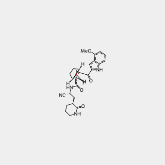 COc1cccc2[nH]c(C(=O)N3[C@H]4CC[C@@H]([C@H]3C(=O)N[C@@H](C#N)C[C@@H]3CCCNC3=O)C(F)(F)C4)cc12